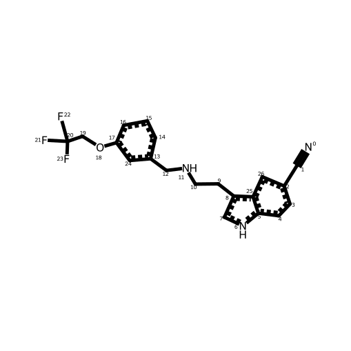 N#Cc1ccc2[nH]cc(CCNCc3cccc(OCC(F)(F)F)c3)c2c1